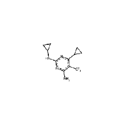 Nc1nc(NC2CC2)nc(C2CC2)c1C(F)(F)F